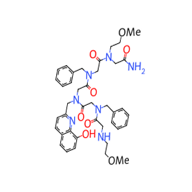 COCCNCC(=O)N(CC(=O)N(CC(=O)N(CC(=O)N(CCOC)CC(N)=O)Cc1ccccc1)Cc1ccc2cccc(O)c2n1)Cc1ccccc1